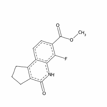 COC(=O)c1ccc2c3c(c(=O)[nH]c2c1F)CCC3